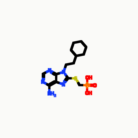 Nc1ncnc2c1nc(SCP(=O)(O)O)n2CCC1CCCCC1